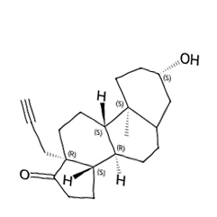 C#CC[C@]12CC[C@H]3[C@@H](CCC4C[C@@H](O)CC[C@@]43C)[C@@H]1CCC2=O